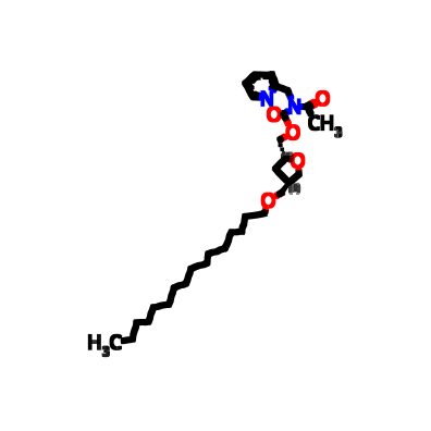 CCCCCCCCCCCCCCCCOC[C@@H]1CO[C@@H](COC(=O)N(Cc2ccccn2)C(C)=O)C1